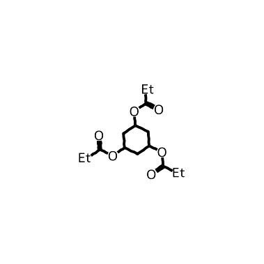 CCC(=O)OC1CC(OC(=O)CC)CC(OC(=O)CC)C1